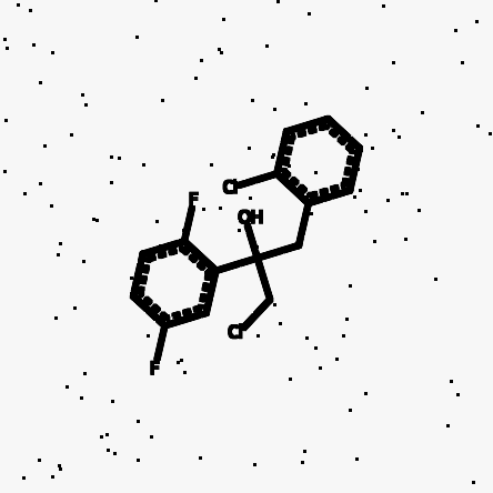 OC(CCl)(Cc1ccccc1Cl)c1cc(F)ccc1F